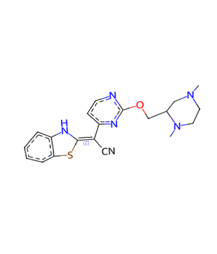 CN1CCN(C)C(COc2nccc(/C(C#N)=C3\Nc4ccccc4S3)n2)C1